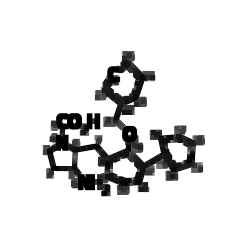 NC1CCN(C(=O)O)C1Cc1cccc(-c2ccccc2)c1OCc1ccccc1